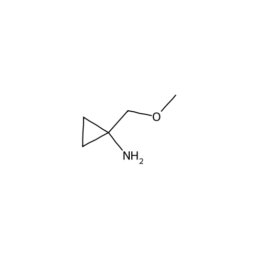 COCC1(N)CC1